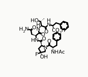 CC(=O)N[C@@H](Cc1ccccc1)C(=O)N1C[C@@](O)(F)C[C@H]1C(=O)N[C@@H](CC(N)=O)C(=O)N[C@H](C(=O)N[C@@H](Cc1ccccc1)C(=O)O)[C@@H](C)O